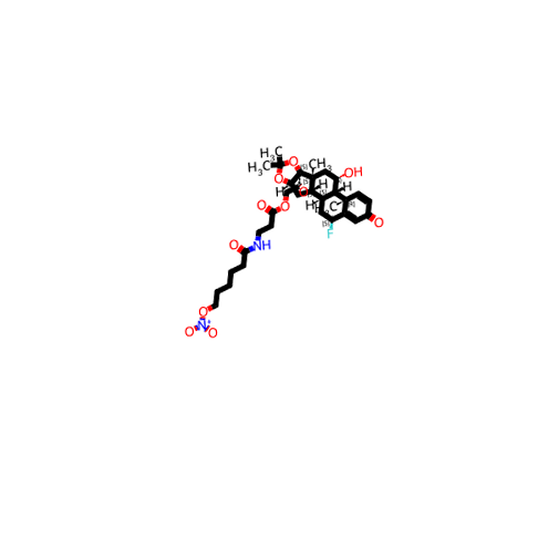 CC1(C)O[C@@H]2C[C@H]3[C@@H]4C[C@H](F)C5=CC(=O)C=C[C@]5(C)[C@H]4[C@@H](O)C[C@]3(C)[C@]2(C(=O)COC(=O)CCNC(=O)CCCCCO[N+](=O)[O-])O1